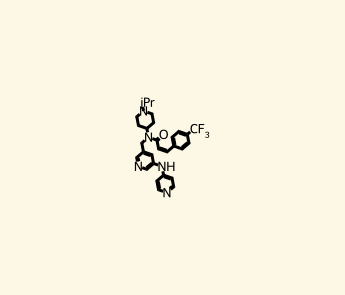 CC(C)N1CCC(N(Cc2cncc(Nc3ccncc3)c2)C(=O)C=Cc2ccc(C(F)(F)F)cc2)CC1